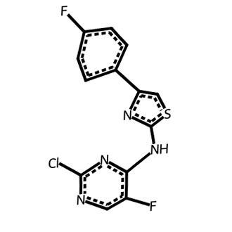 Fc1ccc(-c2csc(Nc3nc(Cl)ncc3F)n2)cc1